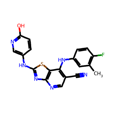 Cc1cc(Nc2c(C#N)cnc3nc(Nc4ccc(O)nc4)sc23)ccc1F